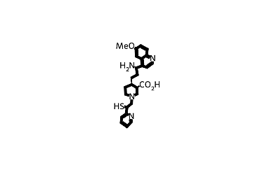 COc1ccc2nccc([C@@H](N)CC[C@@H]3CCN(CC(S)c4ccccn4)C[C@@H]3C(=O)O)c2c1